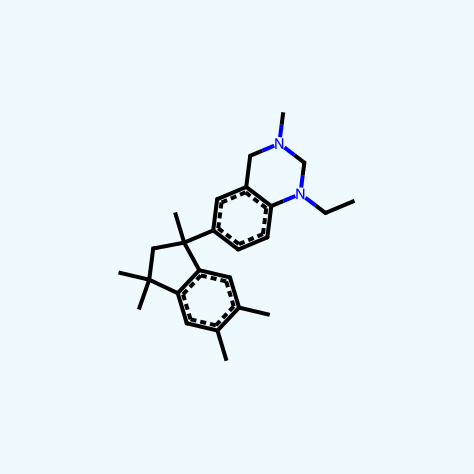 CCN1CN(C)Cc2cc(C3(C)CC(C)(C)c4cc(C)c(C)cc43)ccc21